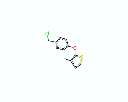 Cc1ccsc1Oc1ccc(CCl)cc1